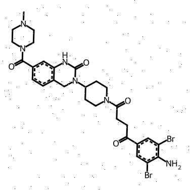 CN1CCN(C(=O)c2ccc3c(c2)NC(=O)N(C2CCN(C(=O)CCC(=O)c4cc(Br)c(N)c(Br)c4)CC2)C3)CC1